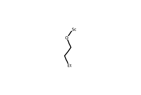 CCCC[O][Sc]